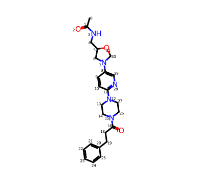 CC(=O)NCC1CN(c2ccc(N3CCN(C(=O)CCc4ccccc4)CC3)nc2)CO1